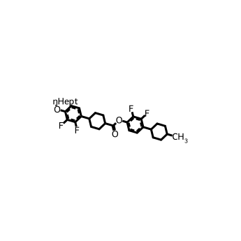 CCCCCCCOc1ccc(C2CCC(C(=O)Oc3ccc(C4CCC(C)CC4)c(F)c3F)CC2)c(F)c1F